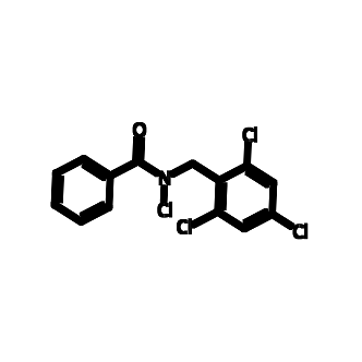 O=C(c1ccccc1)N(Cl)Cc1c(Cl)cc(Cl)cc1Cl